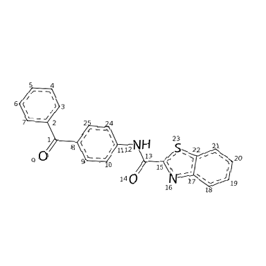 O=C(c1ccccc1)c1ccc(NC(=O)c2nc3ccccc3s2)cc1